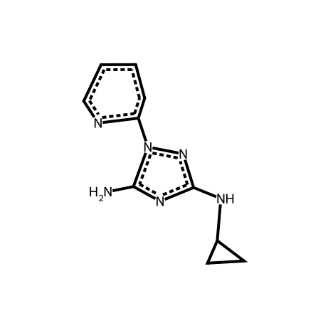 Nc1nc(NC2CC2)nn1-c1ccccn1